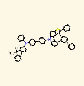 CC1(C)c2ccccc2-c2ccc(N(c3ccccc3)c3ccc(-c4ccc(-n5c6cccc7c6c6c8c(c(-c9ccccc9)sc8ccc65)-c5ccc(-c6ccccc6)cc5-7)cc4)cc3)cc21